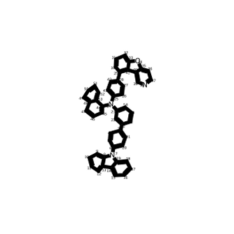 c1cc(-c2ccc(-n3c4ccccc4c4ccccc43)cc2)cc(N(c2ccc(-c3cccc4oc5ccncc5c34)cc2)c2cccc3ccccc23)c1